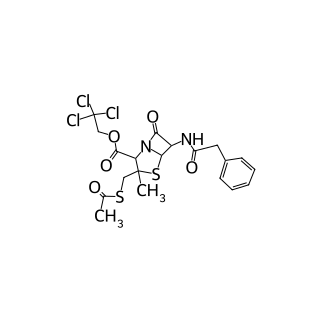 CC(=O)SCC1(C)SC2C(NC(=O)Cc3ccccc3)C(=O)N2C1C(=O)OCC(Cl)(Cl)Cl